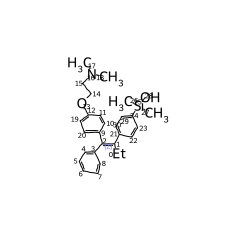 CC/C(=C(\c1ccccc1)c1ccc(OCCN(C)C)cc1)c1ccc([Si](C)(C)O)cc1